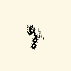 COC(=O)c1sccc1C(C)CCC(C)c1ccc(-c2ccccc2)cc1